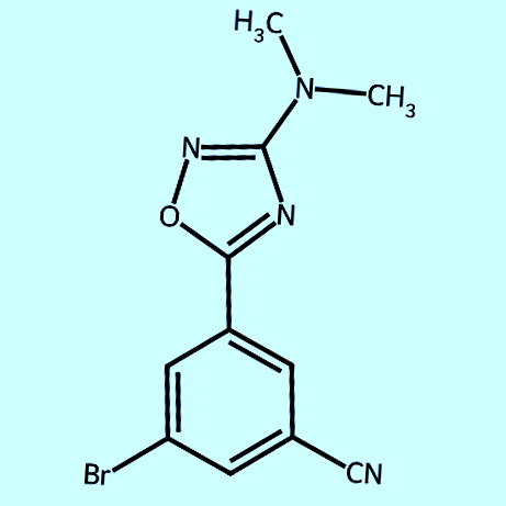 CN(C)c1noc(-c2cc(Br)cc(C#N)c2)n1